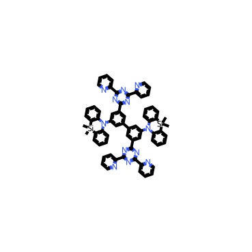 C[Si]1(C)c2ccccc2N(c2cc(-c3cc(-c4nc(-c5ccccn5)nc(-c5ccccn5)n4)cc(N4c5ccccc5[Si](C)(C)c5ccccc54)c3)cc(-c3nc(-c4ccccn4)nc(-c4ccccn4)n3)c2)c2ccccc21